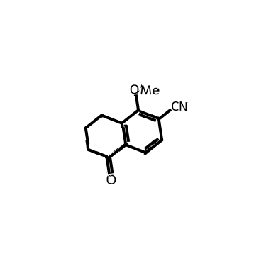 COc1c(C#N)ccc2c1CCCC2=O